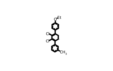 CCOc1ccc(C2=C(Cl)C(Cl)=C(c3cccc(C)c3)[CH]C2)cc1